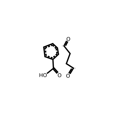 O=C(O)c1ccccc1.O=[C]CC[C]=O